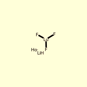 [F][Lu]([F])[F].[Ho].[LiH]